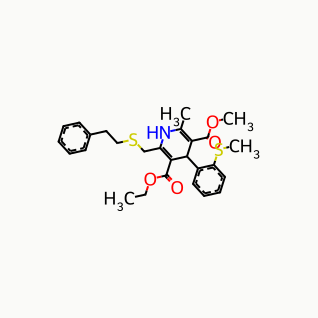 CCOC(=O)C1=C(CSCCc2ccccc2)NC(C)=C(C(=O)OC)C1c1ccccc1SC